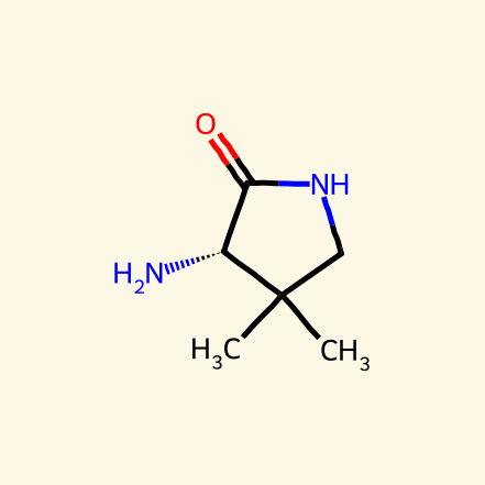 CC1(C)CNC(=O)[C@H]1N